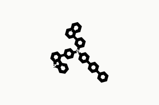 c1ccc(-c2ccc(-c3ccc(N(c4ccc(-c5cccc6sc7ccccc7c56)cc4)c4cccc(-c5cccc6ccccc56)c4)cc3)cc2)cc1